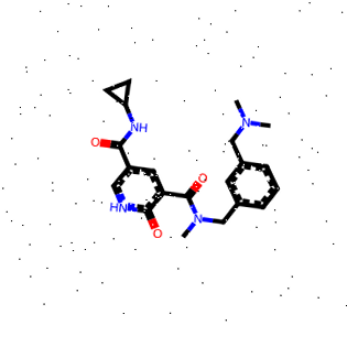 CN(C)Cc1cccc(CN(C)C(=O)c2cc(C(=O)NC3CC3)c[nH]c2=O)c1